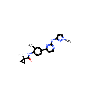 Cc1cc(-c2ccnc(Nc3ccn(C)n3)n2)ccc1NC(=O)C1(C(=O)O)CC1